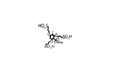 COC(=O)c1c(OCCCS(=O)(=O)O)cc(OCCCS(=O)(=O)O)c(I)c1OCCCS(=O)(=O)O